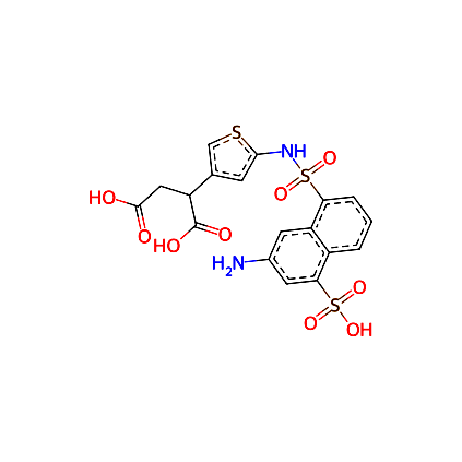 Nc1cc(S(=O)(=O)O)c2cccc(S(=O)(=O)Nc3cc(C(CC(=O)O)C(=O)O)cs3)c2c1